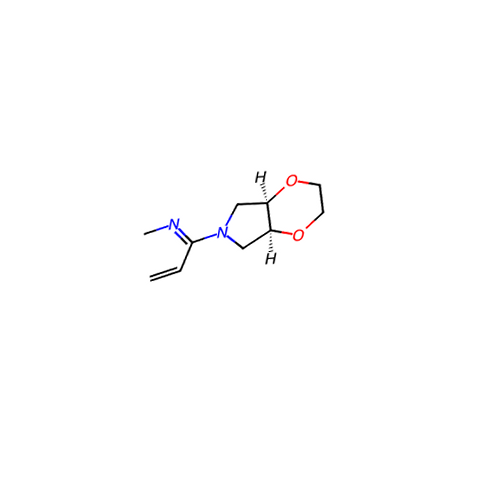 C=C/C(=N\C)N1C[C@@H]2OCCO[C@@H]2C1